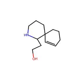 OCCC1NCCCC12C=CCCC2